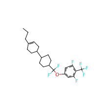 CCCC1=CCC(C2CCC(C(F)(F)Oc3cc(F)c(C(F)(F)F)c(F)c3)CC2)CC1